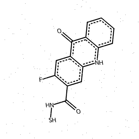 O=C(NS)c1cc2[nH]c3ccccc3c(=O)c2cc1F